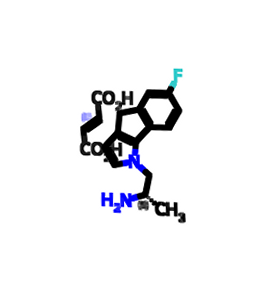 C[C@H](N)Cn1ccc2c1-c1ccc(F)cc1C2.O=C(O)/C=C/C(=O)O